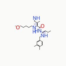 CC/C=C(\NCc1ccc(C)c(C)c1)NC(=O)/C(NCCCCCOC)=C(\C)C=N